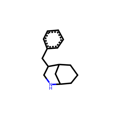 c1ccc(CC2CNC3CCCC2C3)cc1